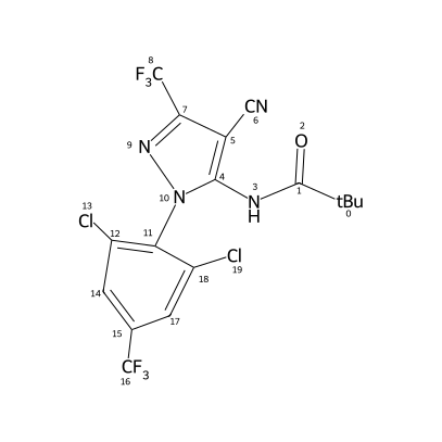 CC(C)(C)C(=O)Nc1c(C#N)c(C(F)(F)F)nn1-c1c(Cl)cc(C(F)(F)F)cc1Cl